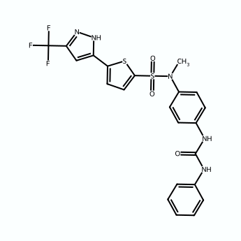 CN(c1ccc(NC(=O)Nc2ccccc2)cc1)S(=O)(=O)c1ccc(-c2cc(C(F)(F)F)n[nH]2)s1